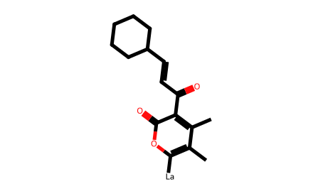 Cc1[c]([La])oc(=O)c(C(=O)/C=C/C2CCCCC2)c1C